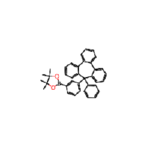 CC1(C)OB(c2cccc(C3(c4ccccc4)c4ccccc4-c4ccccc4-c4ccccc43)c2)OC1(C)C